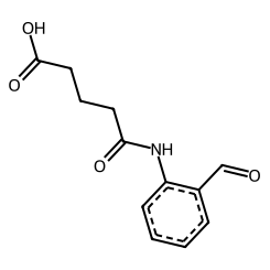 O=Cc1ccccc1NC(=O)CCCC(=O)O